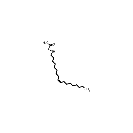 CCCCCCCC/C=C\CCCCCCCCNOC(C)=O